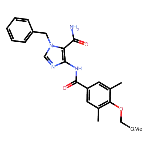 COCOc1c(C)cc(C(=O)Nc2ncn(Cc3ccccc3)c2C(N)=O)cc1C